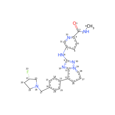 CNC(=O)c1ccc(Nc2nc3c(-c4ccc(CN5CC[C@H](F)C5)cc4)cccn3n2)cn1